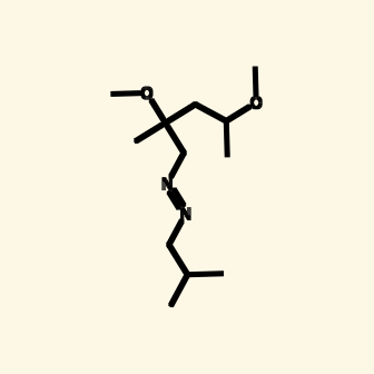 COC(C)CC(C)(CN=NCC(C)C)OC